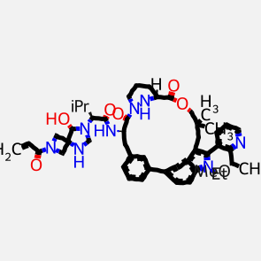 C=CC(=O)N1CC2(C1)NCN([C@H](C(=O)N[C@H]1Cc3cccc(c3)-c3ccc4c(c3)c(c(-c3cccnc3[C@H](C)OC)n4CC)CC(C)(C)COC(=O)[C@@H]3CCCN(N3)C1=O)C(C)C)C2O